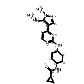 CNc1c(-c2ccnc(N[C@H]3CC[C@H](NC(=O)C4CC4)CC3)n2)cnn1C